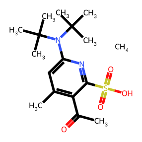 C.CC(=O)c1c(C)cc(N(C(C)(C)C)C(C)(C)C)nc1S(=O)(=O)O